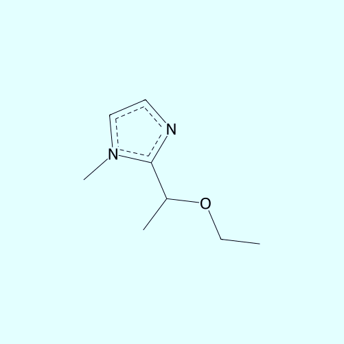 CCOC(C)c1nccn1C